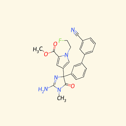 COC(=O)c1cc(C2(c3cccc(-c4cccc(C#N)c4)c3)N=C(N)N(C)C2=O)cn1CCF